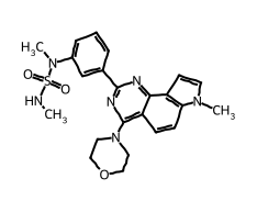 CNS(=O)(=O)N(C)c1cccc(-c2nc(N3CCOCC3)c3ccc4c(ccn4C)c3n2)c1